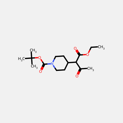 CCOC(=O)C(C(C)=O)C1CCN(C(=O)OC(C)(C)C)CC1